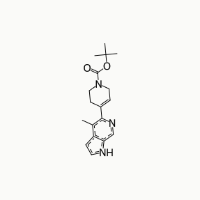 Cc1c(C2=CCN(C(=O)OC(C)(C)C)CC2)ncc2[nH]ccc12